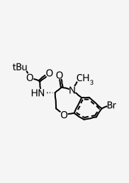 CN1C(=O)[C@@H](NC(=O)OC(C)(C)C)COc2ccc(Br)cc21